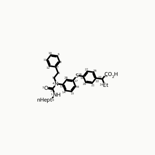 CCCCCCCNC(=O)N(CCc1ccccc1)c1cccc(Sc2ccc(C(CC)C(=O)O)cc2)c1